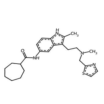 Cc1[nH]c2ccc(NC(=O)C3CCCCCC3)cc2c1CCN(C)Cc1nccs1